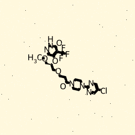 COC[C@H](COCCC(=O)N1CCN(c2ncc(Cl)cn2)CC1)Oc1cn[nH]c(=O)c1C(F)(F)F